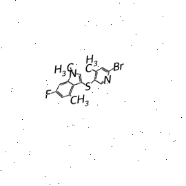 Cc1cc(Br)ncc1Sc1cn(C)c2cc(F)cc(C)c12